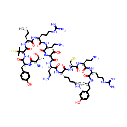 C[C@@H](O)[C@H](N)C(=O)N[C@@H](Cc1ccc(O)cc1)C(=O)N[C@H](C(=O)N[C@@H](CCC(=O)O)C(=O)N[C@@H](CCCNC(=N)N)C(=O)N[C@@H](CCN)C(=O)N[C@H](C(=O)N[C@H](CCN)C(=O)N[C@@H](CCCCN)C(=O)N[C@@H](CS)C(=O)N[C@@H](CCN)C(=O)N[C@@H](CCCNC(=N)N)C(=O)N[C@@H](Cc1ccc(O)cc1)C(=O)O)[C@@H](C)O)C(C)(C)S